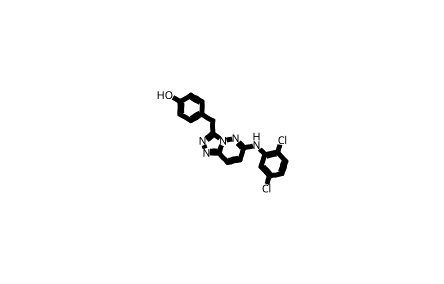 Oc1ccc(Cc2nnc3ccc(Nc4cc(Cl)ccc4Cl)nn23)cc1